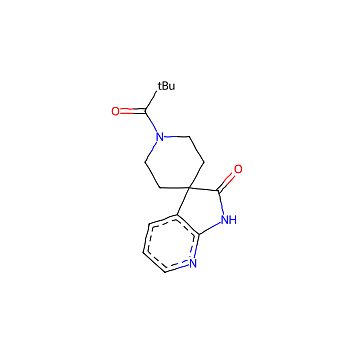 CC(C)(C)C(=O)N1CCC2(CC1)C(=O)Nc1ncccc12